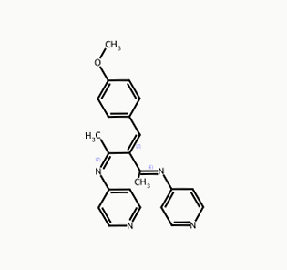 COc1ccc(/C=C(C(\C)=N/c2ccncc2)/C(C)=N/c2ccncc2)cc1